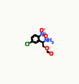 NC(COC=O)c1cc(Cl)ccc1[N+](=O)[O-]